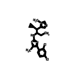 CCC(Nc1nc(-c2ccc(Cl)cc2Cl)c(C)s1)C(c1cncn1C)C1CC1